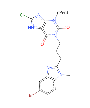 CCCCCn1c(=O)n(CCCc2nc3cc(Br)ccc3n2C)c(=O)c2[nH]c(Cl)nc21